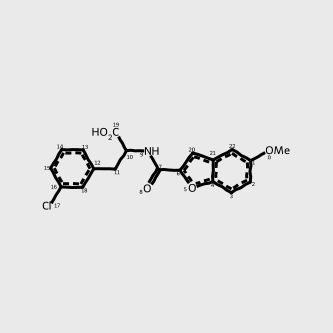 COc1ccc2oc(C(=O)NC(Cc3cccc(Cl)c3)C(=O)O)cc2c1